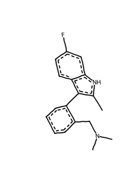 Cc1[nH]c2cc(F)ccc2c1-c1ccccc1CN(C)C